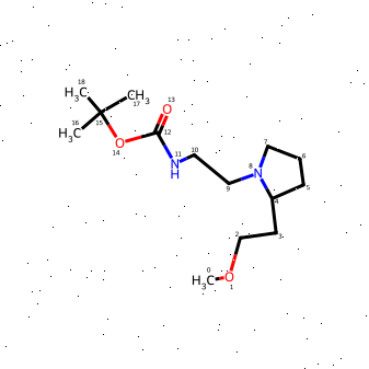 COCCC1CCCN1CCNC(=O)OC(C)(C)C